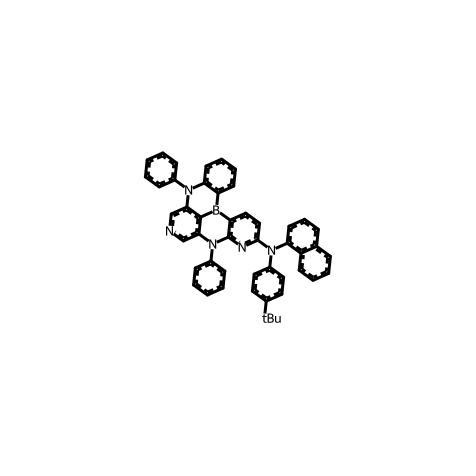 CC(C)(C)c1ccc(N(c2ccc3c(n2)N(c2ccccc2)c2cncc4c2B3c2ccccc2N4c2ccccc2)c2cccc3ccccc23)cc1